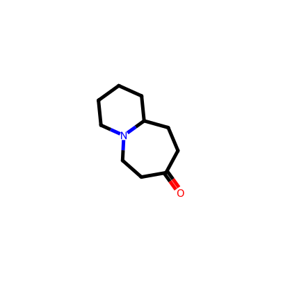 O=C1CCC2CCCCN2CC1